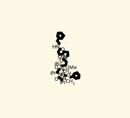 CCC(C)C(C(CC(=O)N1CCCC1C(CC(=O)NCCc1ccccc1)SC)OC)N(C)C(=O)C(NC(=O)C(C(C)C)N(C)C(=O)OCc1ccccc1)C(C)C